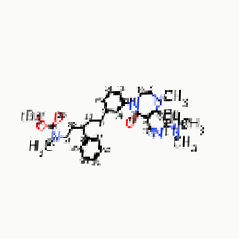 C=C(/N=C\C1=C(C(C)CC)N(C)CCN(c2cccc(CCC(CCN(C)C(=O)OC(C)(C)C)c3ccccc3)c2)C1=O)N(C)C